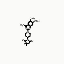 COc1cc2nc(N3CCC(N4C(=O)CC(C)(C)C4=O)CC3)nc(N)c2cc1OC